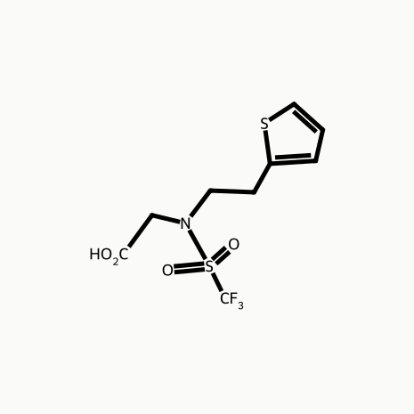 O=C(O)CN(CCc1cccs1)S(=O)(=O)C(F)(F)F